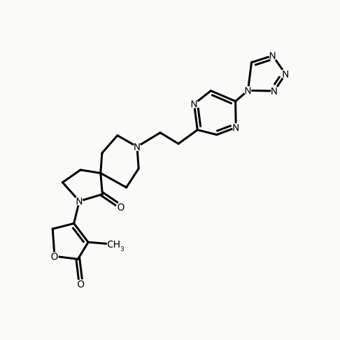 CC1=C(N2CCC3(CCN(CCc4cnc(-n5cnnn5)cn4)CC3)C2=O)COC1=O